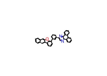 c1cc(-c2cnc3c4ccccc4c4ccccc4c3n2)cc(-c2cccc3c2oc2cc4ccccc4cc23)c1